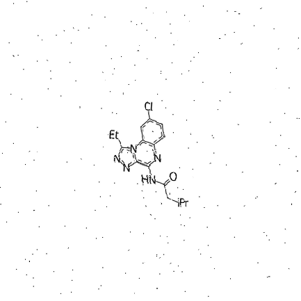 CCc1nnc2c(NC(=O)CC(C)C)nc3ccc(Cl)cc3n12